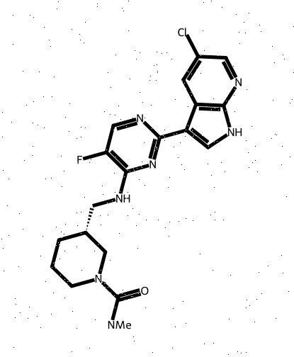 CNC(=O)N1CCC[C@H](CNc2nc(-c3c[nH]c4ncc(Cl)cc34)ncc2F)C1